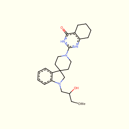 COCC(O)CN1CC2(CCN(c3nc4c(c(=O)[nH]3)CCCC4)CC2)c2ccccc21